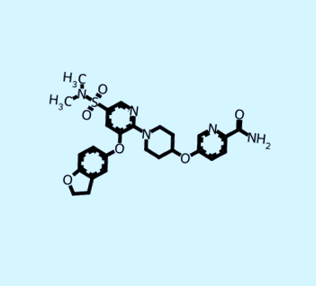 CN(C)S(=O)(=O)c1cnc(N2CCC(Oc3ccc(C(N)=O)nc3)CC2)c(Oc2ccc3c(c2)CCO3)c1